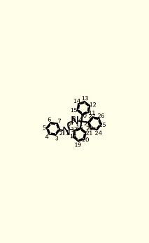 C(=Nc1ccccc1)=NC(c1ccccc1)(c1ccccc1)c1ccccc1